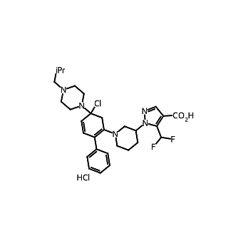 CC(C)CN1CCN(C2(Cl)C=CC(c3ccccc3)=C(N3CCCC(n4ncc(C(=O)O)c4C(F)F)C3)C2)CC1.Cl